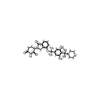 [2H]c1cc(C([2H])([2H])Oc2cccc3c2CN(C2CCC(=O)NC2=O)C3=O)cc([2H])c1C([2H])([2H])N1CCOCC1